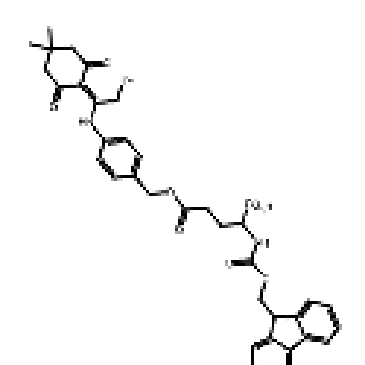 CC(C)CC(Nc1ccc(COC(=O)CC[C@H](NC(=O)OCC2c3ccccc3-c3ccccc32)C(=O)O)cc1)=C1C(=O)CC(C)(C)CC1=O